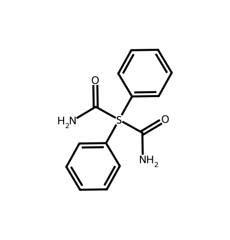 NC(=O)S(C(N)=O)(c1ccccc1)c1ccccc1